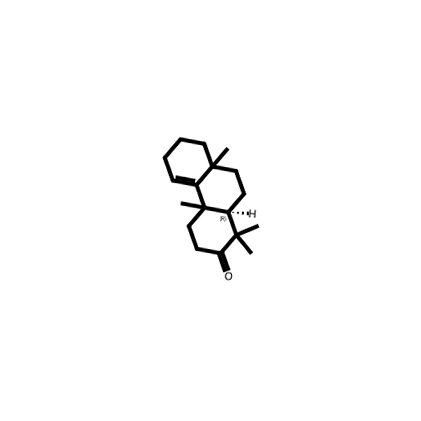 CC12CCCC=C1C1(C)CCC(=O)C(C)(C)[C@@H]1CC2